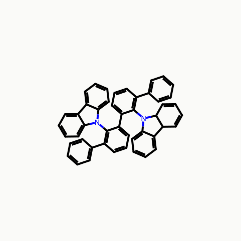 C1=CC2c3ccccc3N(c3c(-c4ccccc4)cccc3-c3cccc(-c4ccccc4)c3-n3c4ccccc4c4ccccc43)C2C=C1